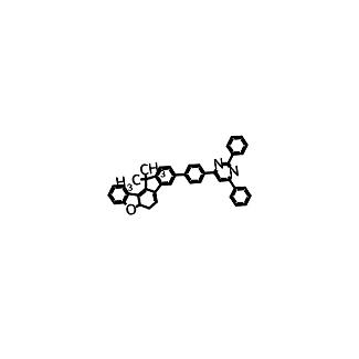 CC1(C)C2=C3c4ccccc4OC3CC=C2c2cc(-c3ccc(-c4cc(-c5ccccc5)nc(-c5ccccc5)n4)cc3)ccc21